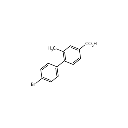 Cc1cc(C(=O)O)ccc1-c1ccc(Br)cc1